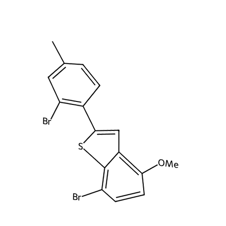 COc1ccc(Br)c2sc(-c3ccc(C)cc3Br)cc12